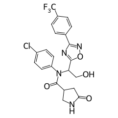 O=C1CC(C(=O)N(c2ccc(Cl)cc2)C(CO)c2nc(-c3ccc(C(F)(F)F)cc3)no2)CN1